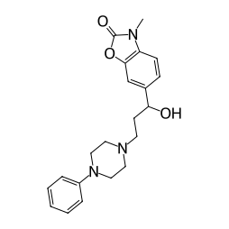 Cn1c(=O)oc2cc(C(O)CCN3CCN(c4ccccc4)CC3)ccc21